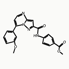 COC(=O)c1ccc(NC(=O)c2cc3nccc(-c4cccc(OC)c4)n3n2)cc1